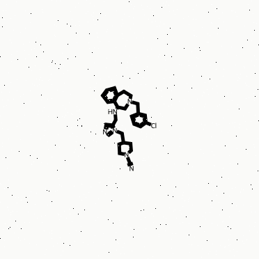 N#CN1CCC(Cn2cncc2CNC2CN(Cc3cccc(Cl)c3)CCc3ccccc32)CC1